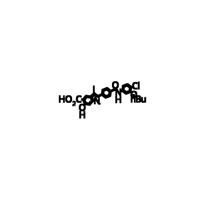 CCCCOc1cc(NC(=O)c2ccc(-c3c(I)c4cc(C(=O)O)c(O)cc4n3C)cc2)ccc1Cl